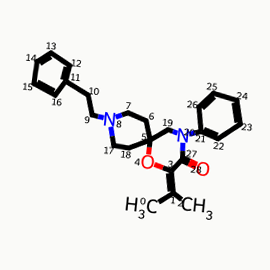 CC(C)=C1OC2(CCN(CCc3ccccc3)CC2)CN(c2ccccc2)C1=O